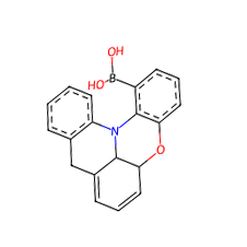 OB(O)c1cccc2c1N1c3ccccc3CC3=CC=CC(O2)C31